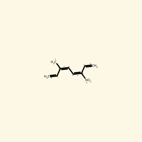 C=C/C(C)=C\C=C(/C=C)[N+](=O)[O-]